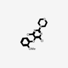 COc1ccccc1Oc1c(Cl)nc(N2CCOCC2)nc1Cl